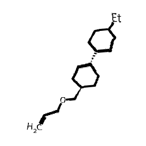 C=CCOC[C@H]1CC[C@H](C2CCC(CC)CC2)CC1